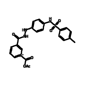 CC(=O)OC(=O)[n+]1cccc(C(=O)NNc2ccc(NS(=O)(=O)c3ccc(C)cc3)cc2)c1